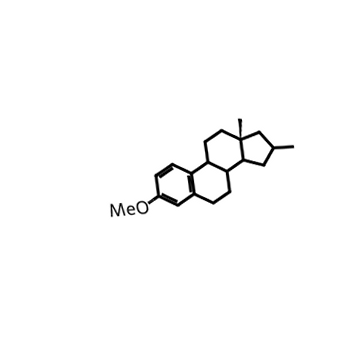 COc1ccc2c(c1)CCC1C2CC[C@]2(C)CC(C)CC12